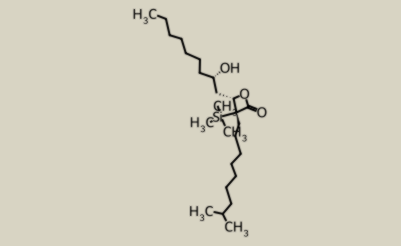 CCCCCCC[C@H](O)C[C@@H]1OC(=O)[C@]1(CCCCCCCC(C)C)[Si](C)(C)C